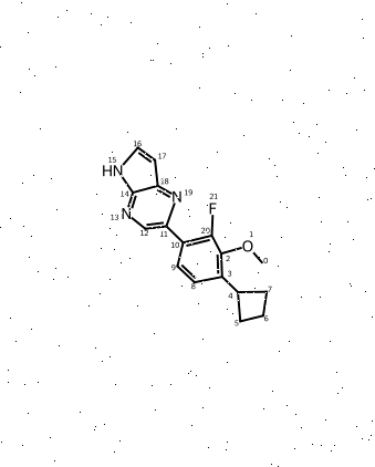 COc1c(C2CCC2)ccc(-c2cnc3[nH]ccc3n2)c1F